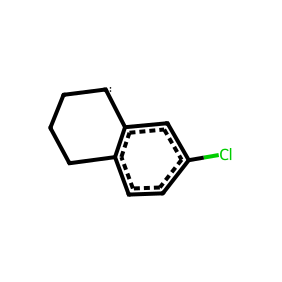 Clc1ccc2c(c1)[C]CCC2